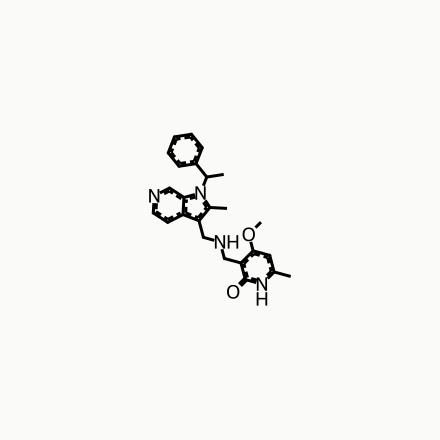 COc1cc(C)[nH]c(=O)c1CNCc1c(C)n(C(C)c2ccccc2)c2cnccc12